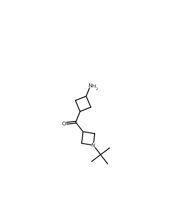 CC(C)(C)N1CC(C(=O)C2CC(N)C2)C1